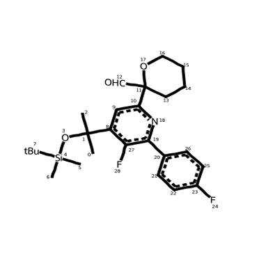 CC(C)(O[Si](C)(C)C(C)(C)C)c1cc(C2(C=O)CCCCO2)nc(-c2ccc(F)cc2)c1F